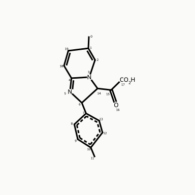 CC1=CN2C(=NC(c3ccc(C)cc3)C2C(=O)C(=O)O)C=C1